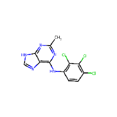 Cc1nc(Nc2ccc(Cl)c(Cl)c2Cl)c2nc[nH]c2n1